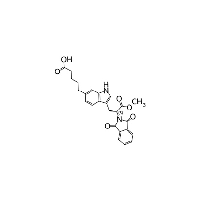 COC(=O)[C@H](Cc1c[nH]c2cc(CCCCC(=O)O)ccc12)N1C(=O)c2ccccc2C1=O